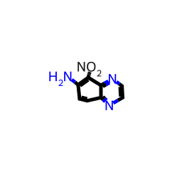 Nc1ccc2nccnc2c1[N+](=O)[O-]